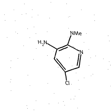 CNc1ncc(Cl)cc1N